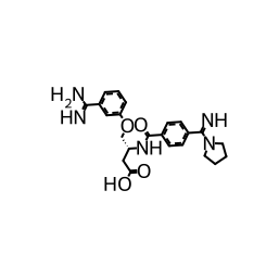 N=C(N)c1cccc(OC[C@@H](CC(=O)O)NC(=O)c2ccc(C(=N)N3CCCC3)cc2)c1